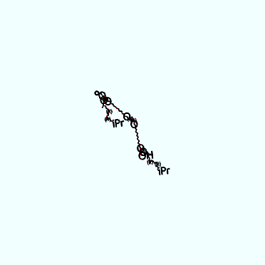 CC(C)CCC[C@@H](C)CCC[C@@H](C)CCCC(C)CCO[C@@H](COCCCCCCCCCCCCOC[C@H]1CC[C@@H](COCCCCCCCCCCCCOC[C@@H](CO)OCCC(C)CCC[C@H](C)CCC[C@H](C)CCCC(C)C)C1)COCc1ccccc1